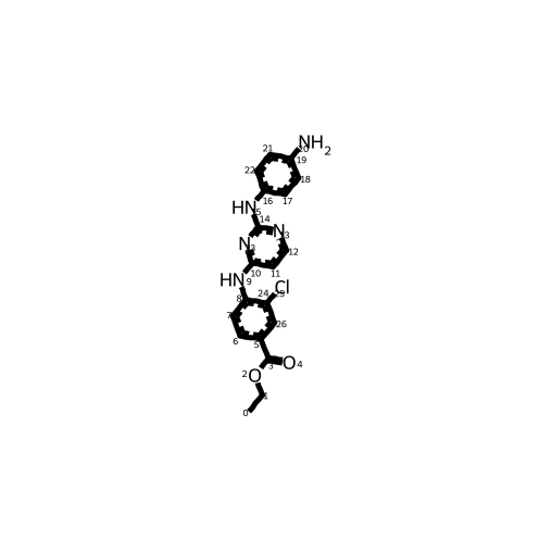 CCOC(=O)c1ccc(Nc2ccnc(Nc3ccc(N)cc3)n2)c(Cl)c1